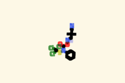 CC(C)(C#N)/C=N/OC(=O)N(SC(Cl)(Cl)Cl)c1ccccc1